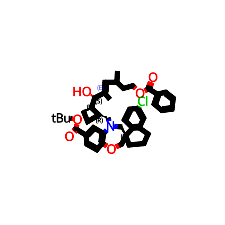 C/C(=C\C(C)CCOC(=O)c1ccccc1)[C@@H](O)[C@@H]1CC[C@H]1CN1C[C@@]2(CCCc3cc(Cl)ccc32)COc2ccc(C(=O)OC(C)(C)C)cc21